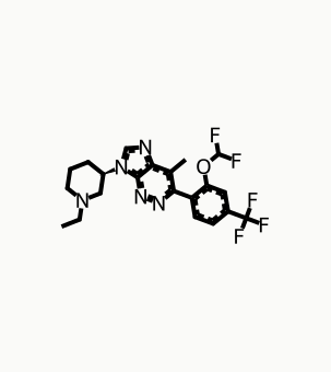 CCN1CCC[C@@H](n2cnc3c(C)c(-c4ccc(C(F)(F)F)cc4OC(F)F)nnc32)C1